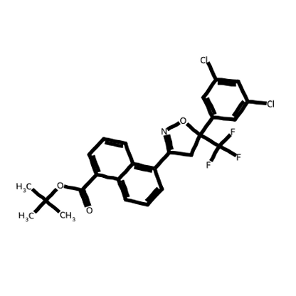 CC(C)(C)OC(=O)c1cccc2c(C3=NOC(c4cc(Cl)cc(Cl)c4)(C(F)(F)F)C3)cccc12